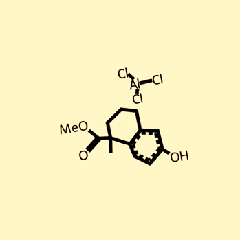 COC(=O)C1(C)CCCc2cc(O)ccc21.[Cl][Al]([Cl])[Cl]